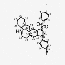 O=S(=O)(c1ccccc1)c1nn(-c2ccc(F)cc2)c2c1CC1(CN3CCCCC3)CNCCC1=C2